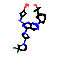 CC(C)(O)c1cccc(-n2ncc3c(N4CC(N5CCC(F)(F)C5)C4)nc(NC4CC(O)C4)nc32)c1